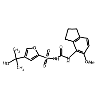 COc1ccc2c(c1NC(=O)NS(=O)(=O)c1cc(C(C)(C)O)co1)CCC2